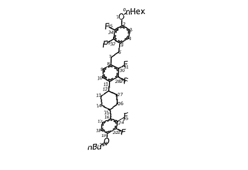 CCCCCCOc1ccc(CCc2ccc(C3CCC(c4ccc(OCCCC)c(F)c4F)CC3)c(F)c2F)c(F)c1F